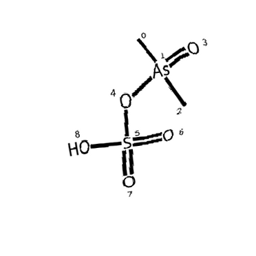 C[As](C)(=O)OS(=O)(=O)O